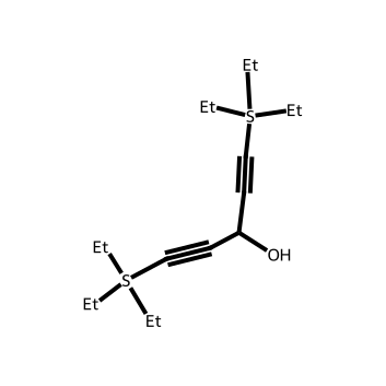 CCS(C#CC(O)C#CS(CC)(CC)CC)(CC)CC